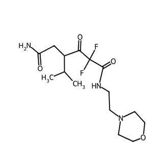 CC(C)C(CC(N)=O)C(=O)C(F)(F)C(=O)NCCN1CCOCC1